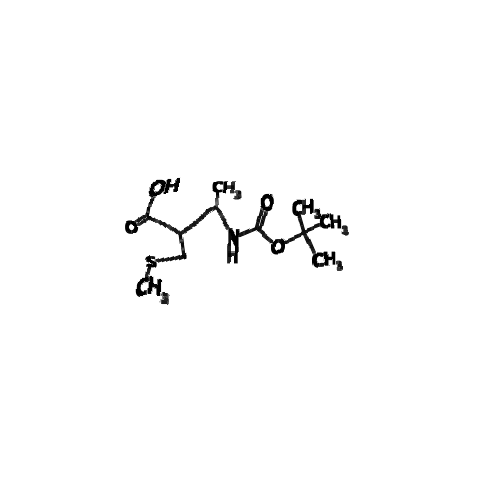 CSCC(C(=O)O)C(C)NC(=O)OC(C)(C)C